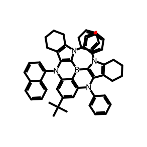 CC(C)(C)c1cc2c3c(c1)N(c1cccc4ccccc14)c1c4c(n(C5=C=C=CC=C5)c1B3c1c(c3c(n1C1=CC=CCC1)CCCC3)N2c1ccccc1)CCCC4